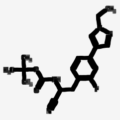 CCn1cc(-c2ccc(CC(C#N)NC(=O)OC(C)(C)C)c(F)c2)cn1